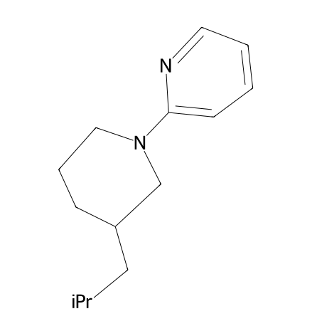 CC(C)CC1CCCN(c2ccccn2)C1